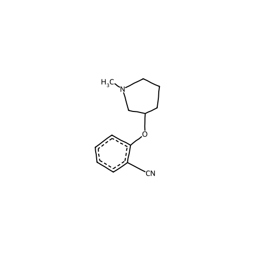 CN1CCCC(Oc2ccccc2C#N)C1